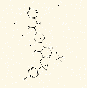 CC(C)(C)OC(=O)NC(C(=O)NCC1(c2ccc(Cl)cc2)CC1)[C@H]1CC[C@H](C(=O)Nc2ccncc2)CC1